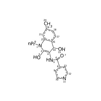 CCCN1C(O)=C(NC(=O)c2ccncc2)C(O)c2ccc(C)cc21